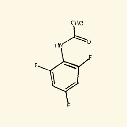 O=CC(=O)Nc1c(F)cc(F)cc1F